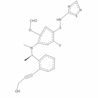 C[C@H](c1ccccc1C#CCO)N(C)c1cc(F)c(SNc2ncns2)cc1OC=O